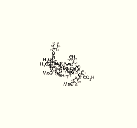 C=C1C[C@@H](C[C@H]2C[C@@H](O[Si](C)(C)C(C)(C)C)C[C@@H](CC(CC(=O)O)OCc3ccc(OC)cc3)O2)O[C@@H](C=CC(C)(C)[C@]2(OC)O[C@H](C[C@@H](O[Si](C)(C)C(C)(C)C)[C@@H](C)OCOCc3ccccc3)CC(=CC(=O)OC)[C@@H]2OC(=O)CCCCCCC)C1